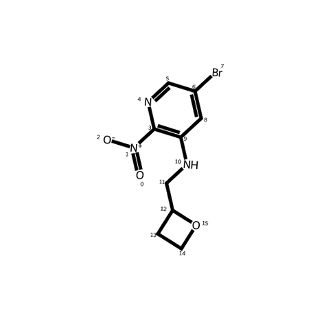 O=[N+]([O-])c1ncc(Br)cc1NCC1CCO1